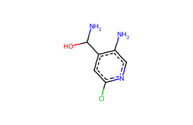 Nc1cnc(Cl)cc1C(N)O